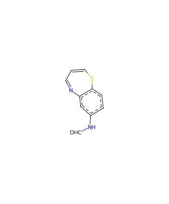 O=CNc1ccc2c(c1)N=CC=CS2